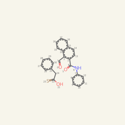 O=Cc1c(C(=O)Nc2ccccc2)ccc2ccccc12.OC(=S)Cc1ccccc1